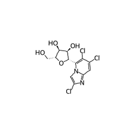 OC[C@H]1O[C@@H](c2c(Cl)c(Cl)cc3nc(Cl)cn23)[C@H](O)[C@@H]1O